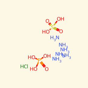 Cl.N.N.N.N.N.N.O=P(O)(O)O.O=S(=O)(O)O